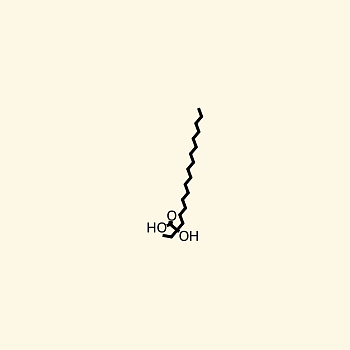 CCCCCCCCCCCCCCCCC(O)(CC)C(=O)O